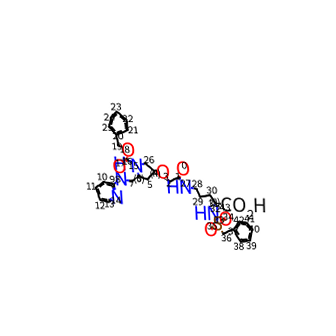 O=C(CO[C@@H]1C[C@@H](CNc2ccccn2)N(C(=O)OCc2ccccc2)C1)NCCC[C@H](NS(=O)(=O)Cc1ccccc1)C(=O)O